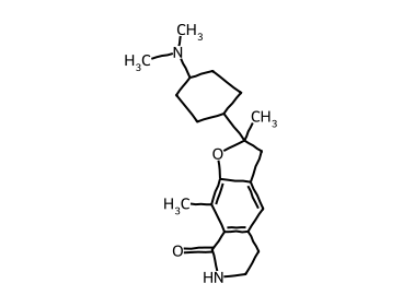 Cc1c2c(cc3c1C(=O)NCC3)CC(C)(C1CCC(N(C)C)CC1)O2